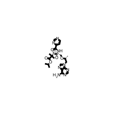 CC(C)OC(=O)C(C)(C)N[P@@](=O)(CO[C@H](C)Cn1cnc2c(N)ncnc21)NC(=O)c1ccncn1